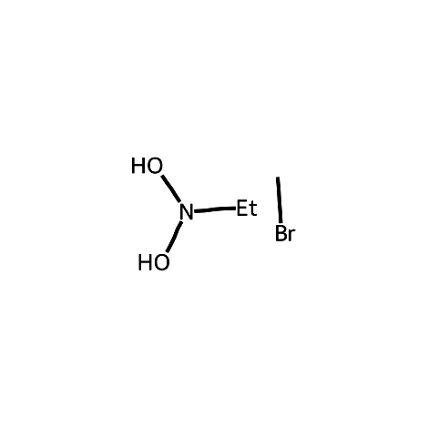 CBr.CCN(O)O